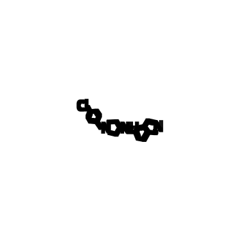 Clc1ccc(CN2CCC(NCc3ccc4cnccc4c3)CC2)cc1